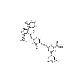 CCN(CC)c1cc(C#Cc2ccc(OCc3c(-c4c(Cl)cccc4Cl)noc3C3CC3)cc2Cl)cc(C(=O)O)c1